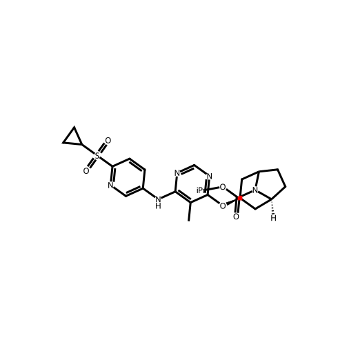 Cc1c(Nc2ccc(S(=O)(=O)C3CC3)nc2)ncnc1O[C@H]1CC2CC[C@@H](C1)N2C(=O)OC(C)C